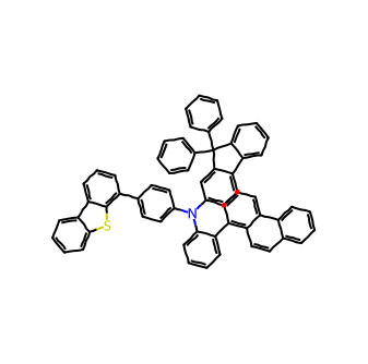 c1ccc(C2(c3ccccc3)c3ccccc3-c3ccc(N(c4ccc(-c5cccc6c5sc5ccccc56)cc4)c4ccccc4-c4cccc5c4ccc4ccccc45)cc32)cc1